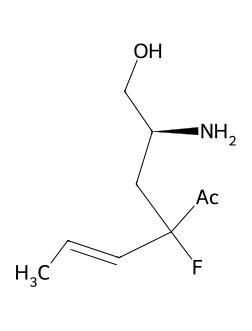 C/C=C/C(F)(C[C@H](N)CO)C(C)=O